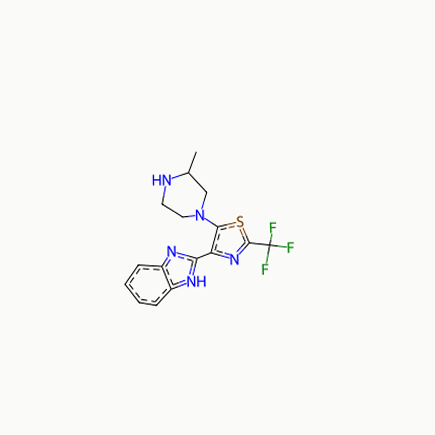 CC1CN(c2sc(C(F)(F)F)nc2-c2nc3ccccc3[nH]2)CCN1